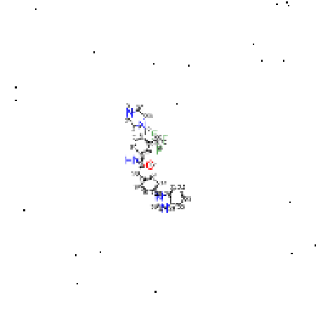 CN1CCN(Cc2ccc(NC(=O)Cc3ccc(-n4cnc5ccccc54)cc3)cc2C(F)(F)F)CC1